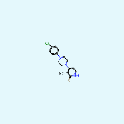 N#Cc1c(N2CCN(c3ccc(Cl)cc3)CC2)cc[nH]c1=S